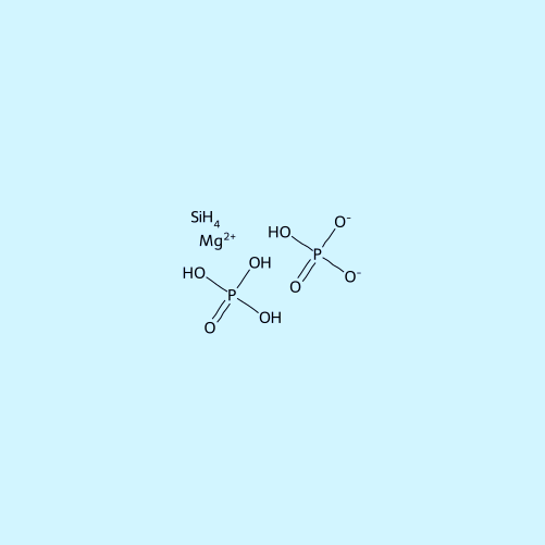 O=P(O)(O)O.O=P([O-])([O-])O.[Mg+2].[SiH4]